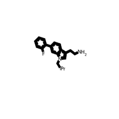 CC(C)Cn1cc(CCN)c2ccc(-c3ccccc3F)cc21